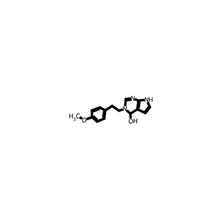 COc1ccc(CCN2C=Nc3[nH]ccc3C2O)cc1